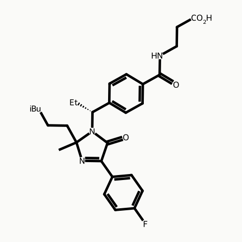 CCC(C)CCC1(C)N=C(c2ccc(F)cc2)C(=O)N1[C@H](CC)c1ccc(C(=O)NCCC(=O)O)cc1